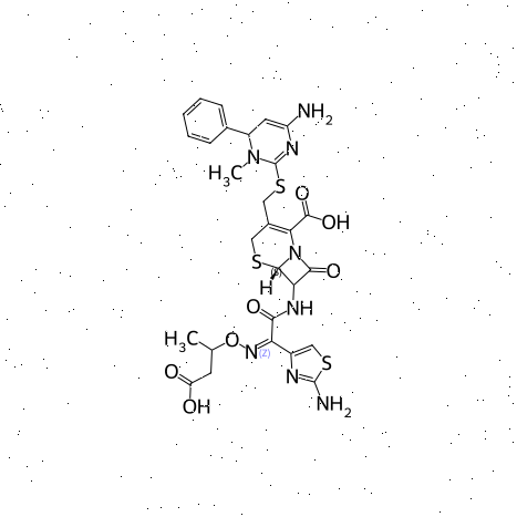 CC(CC(=O)O)O/N=C(\C(=O)NC1C(=O)N2C(C(=O)O)=C(CSC3=NC(N)=CC(c4ccccc4)N3C)CS[C@@H]12)c1csc(N)n1